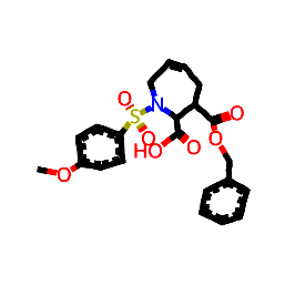 COc1ccc(S(=O)(=O)N2CC=CCC(C(=O)OCc3ccccc3)C2C(=O)O)cc1